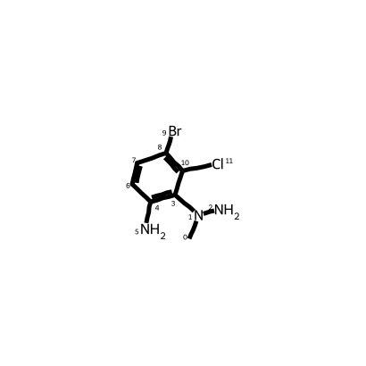 CN(N)c1c(N)ccc(Br)c1Cl